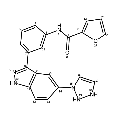 O=C(Nc1cccc(-c2n[nH]c3ccc(N4C=CNN4)cc23)c1)c1ccco1